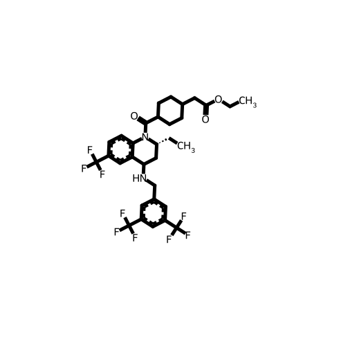 CCOC(=O)CC1CCC(C(=O)N2c3ccc(C(F)(F)F)cc3C(NCc3cc(C(F)(F)F)cc(C(F)(F)F)c3)C[C@H]2CC)CC1